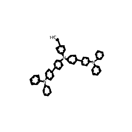 C#Cc1ccc(N(c2ccc(-c3ccc(N(c4ccccc4)c4ccccc4)cc3)cc2)c2ccc(-c3ccc(N(c4ccccc4)c4ccccc4)cc3)cc2)cc1